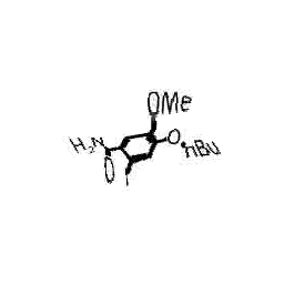 CCCCOc1cc(I)c(C(N)=O)cc1OC